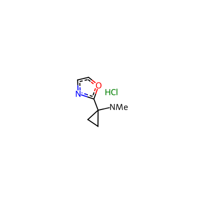 CNC1(c2ncco2)CC1.Cl